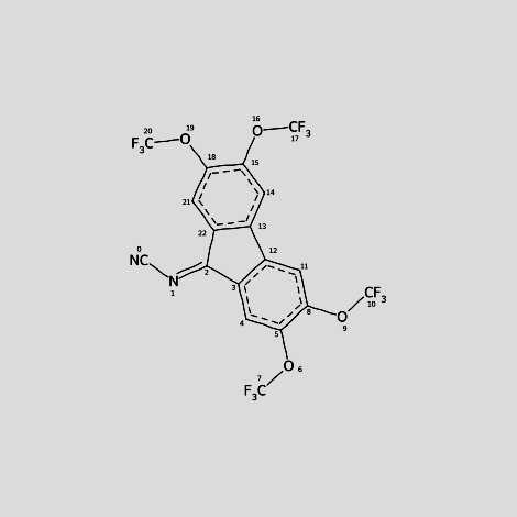 N#CN=C1c2cc(OC(F)(F)F)c(OC(F)(F)F)cc2-c2cc(OC(F)(F)F)c(OC(F)(F)F)cc21